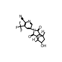 CC12C[C@@H](O)C(C)(O1)[C@H]1C(=O)N(c3cnc(C#N)c(C(F)(F)F)c3)C(=O)[C@H]12